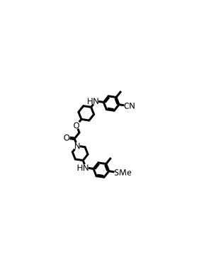 CSc1ccc(NC2CCN(C(=O)COC3CCC(Nc4ccc(C#N)c(C)c4)CC3)CC2)cc1C